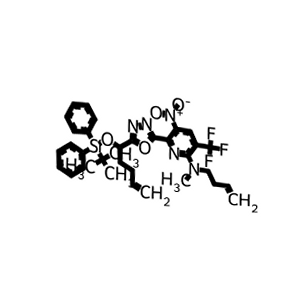 C=CCCC(O[Si](c1ccccc1)(c1ccccc1)C(C)(C)C)c1nnc(-c2nc(N(C)CCC=C)c(C(F)(F)F)cc2[N+](=O)[O-])o1